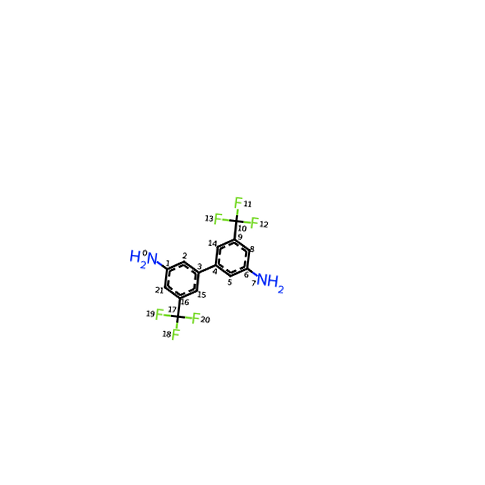 Nc1cc(-c2cc(N)cc(C(F)(F)F)c2)cc(C(F)(F)F)c1